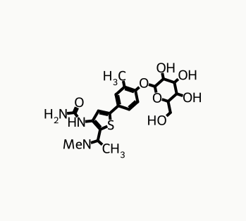 CNC(C)c1sc(-c2ccc(OC3OC(CO)C(O)C(O)C3O)c(C)c2)cc1NC(N)=O